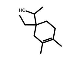 CCC1(C(C)O)CCC(C)=C(C)C1